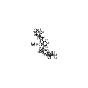 COc1c(-c2cnn([C@@H]3CC[C@]34COCCO4)c2)cccc1-c1nn(C)c2cnc(NC(=O)C3CC3)cc12